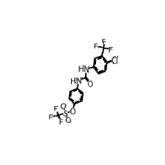 O=C(Nc1ccc(OS(=O)(=O)C(F)(F)F)cc1)Nc1ccc(Cl)c(C(F)(F)F)c1